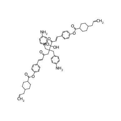 C=CCC1CCC(C(=O)Oc2ccc(C=CC(=O)CC(Cc3ccc(N)cc3)(Cc3ccc(N)cc3)C(O)(O)C(=O)C=Cc3ccc(OC(=O)C4CCC(CC=C)CC4)cc3)cc2)CC1